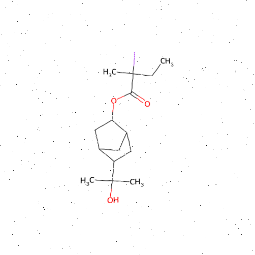 CCC(C)(I)C(=O)OC1CC2CC1CC2C(C)(C)O